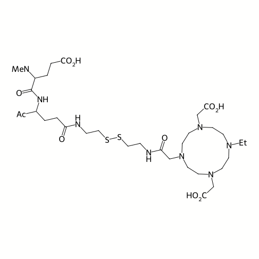 CCN1CCN(CC(=O)O)CCN(CC(=O)NCCSSCCNC(=O)CCC(NC(=O)C(CCC(=O)O)NC)C(C)=O)CCN(CC(=O)O)CC1